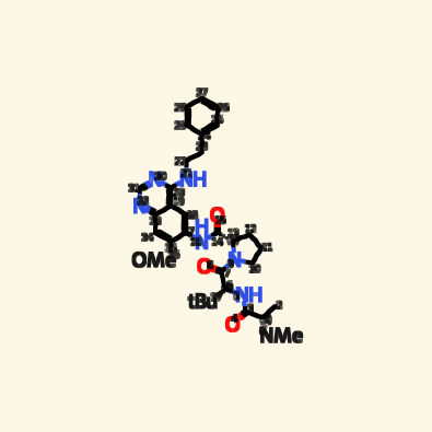 CN[C@@H](C)C(=O)N[C@H](C(=O)N1CCC[C@H]1C(=O)Nc1cc2c(NCCc3ccccc3)ncnc2cc1OC)C(C)(C)C